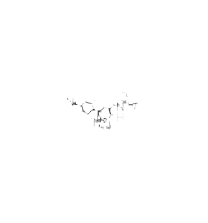 N#Cc1ccc(-c2cc(CNC(=O)C3CC3)cc3ncnn23)cc1